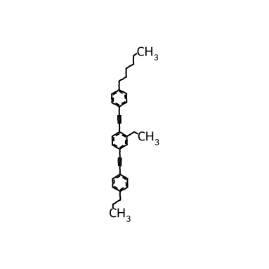 CCCCCCc1ccc(C#Cc2ccc(C#Cc3ccc(CCC)cc3)cc2CC)cc1